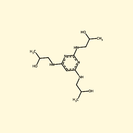 CC(O)CNc1cc(NCC(C)O)nc(NCC(C)O)n1